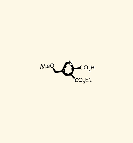 CCOC(=O)c1cc(COC)cnc1C(=O)O